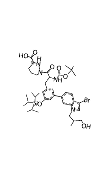 CC(CO)Cn1cc(Br)c2ccc(-c3cc(CC(NC(=O)OC(C)(C)C)C(=O)N4CCC[C@@H](C(=O)O)N4)cc(O[Si](C(C)C)(C(C)C)C(C)C)c3)cc21